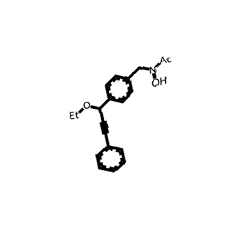 CCOC(C#Cc1ccccc1)c1ccc(CN(O)C(C)=O)cc1